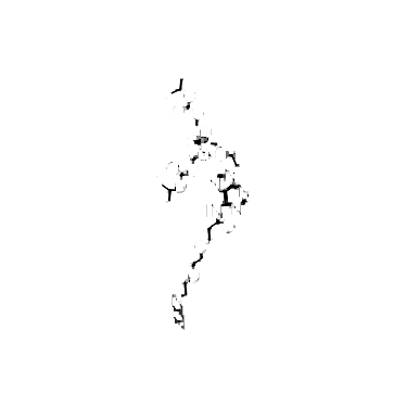 CC(C)OC(=O)OCOP(=O)(CO[C@H](C)Cn1cnc2c(NC(=O)CCOCCOCCN=[N+]=[N-])ncnc21)OCOC(=O)OC(C)C